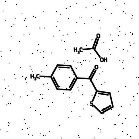 CC(=O)O.Cc1ccc(C(=O)c2cccs2)cc1